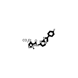 CCOC(=O)c1cnn(C)c1C(=O)Nc1ccn2cc(-c3ccc(F)cc3)nc2n1